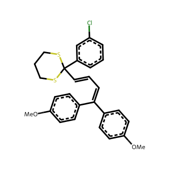 COc1ccc(C(=CC=CC2(c3cccc(Cl)c3)SCCCS2)c2ccc(OC)cc2)cc1